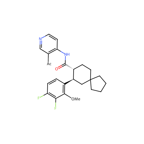 COc1c([C@@H]2CC3(CCCC3)CC[C@H]2C(=O)Nc2ccncc2C(C)=O)ccc(F)c1F